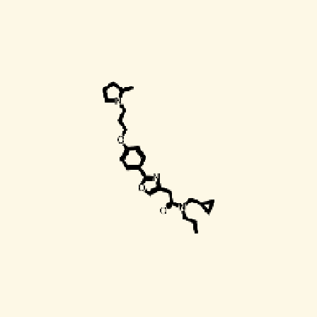 CCCN(CC1CC1)C(=O)Cc1coc(-c2ccc(OCCCN3CCCC3C)cc2)n1